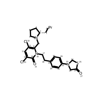 CC(C)C[C@H]1CCCN1Cc1c(Cl)cc(Cl)c(=O)n1CCc1ccc(N2CSC(=O)C2)cc1